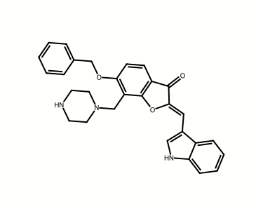 O=C1/C(=C/c2c[nH]c3ccccc23)Oc2c1ccc(OCc1ccccc1)c2CN1CCNCC1